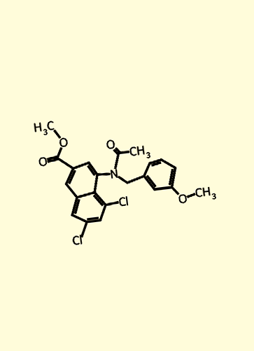 COC(=O)c1cc(N(Cc2cccc(OC)c2)C(C)=O)c2c(Cl)cc(Cl)cc2c1